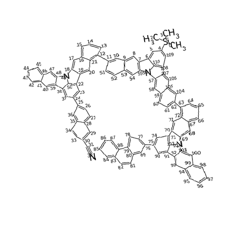 C[Si](C)(C)c1cc2c3cc4cc(-c5cccc6cc7c(cc56)c5cc(-c6ccc8cc(C#N)ccc8c6)cc6c8cc9ccccc9cc8n7c65)ccc4cc3n3c4cc5ccc(-c6cccc7cc8c(cc67)c6cc(-c7ccc9c(ccc%10ccccc%109)c7)cc7c9cc%10ccccc%10cc9n8c76)cc5cc4c(c1)c23